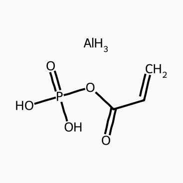 C=CC(=O)OP(=O)(O)O.[AlH3]